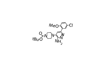 COc1ccc(Cl)cc1-c1cc(N2CCN(C(=O)OC(C)(C)C)CC2)c(N)nn1